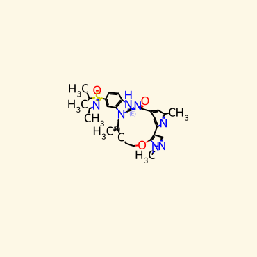 CCN=S(=O)(c1ccc2c(c1)N1C[C@H](C)CCCOc3c(cnn3C)-c3cc(cc(C)n3)C(=O)/N=C/1N2)C(C)C